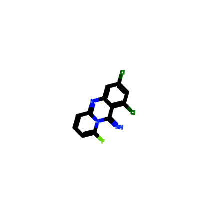 N=c1c2c(Cl)cc(Cl)cc2nc2cccc(F)n12